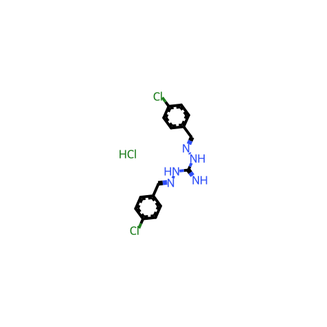 Cl.N=C(N/N=C/c1ccc(Cl)cc1)N/N=C/c1ccc(Cl)cc1